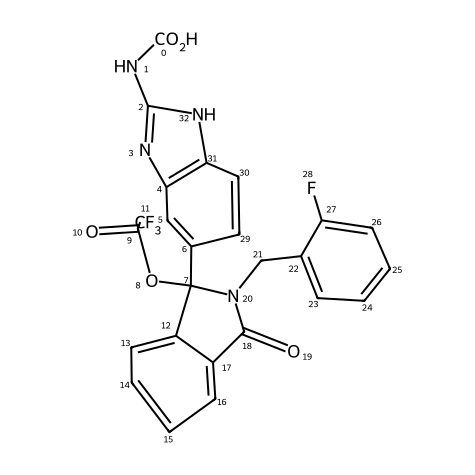 O=C(O)Nc1nc2cc(C3(OC(=O)C(F)(F)F)c4ccccc4C(=O)N3Cc3ccccc3F)ccc2[nH]1